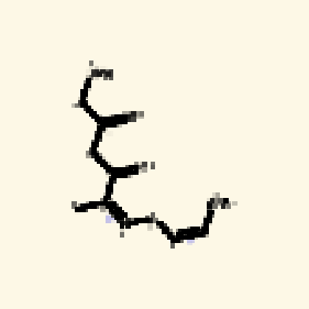 CO/C=C\N/N=C(/C)C(=O)CC(=O)COC